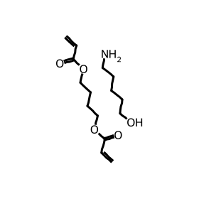 C=CC(=O)OCCCCOC(=O)C=C.NCCCCCO